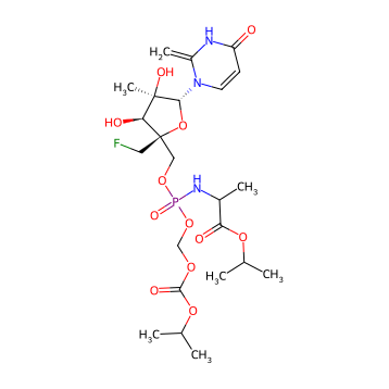 C=C1NC(=O)C=CN1[C@@H]1O[C@](CF)(COP(=O)(NC(C)C(=O)OC(C)C)OCOC(=O)OC(C)C)[C@@H](O)[C@@]1(C)O